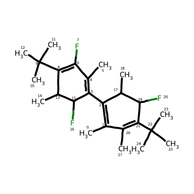 CC1=C(C2=C(C)C(F)=C(C(C)(C)C)C(C)C2F)C(C)C(F)C(C(C)(C)C)=C1C